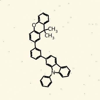 CC1(C)c2ccccc2Oc2ccc(-c3cccc(-c4ccc5c6ccccc6n(-c6ccccc6)c5c4)c3)cc21